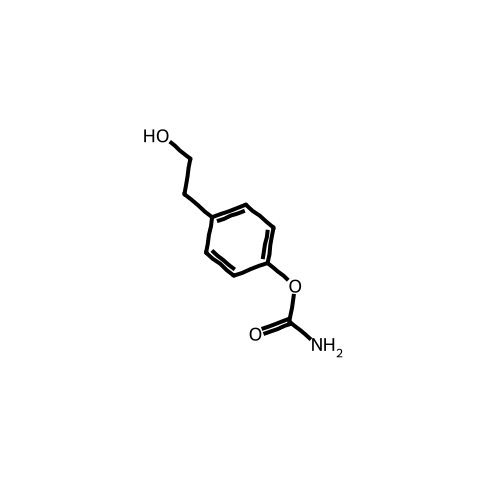 NC(=O)Oc1ccc(CCO)cc1